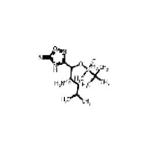 CC(C)C[C@H](N)C(O[Si](C)(C)C(C)(C)C)c1noc(=S)[nH]1